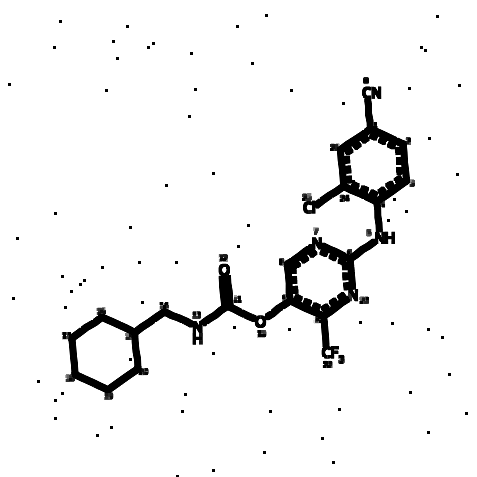 N#Cc1ccc(Nc2ncc(OC(=O)NCC3CCCCC3)c(C(F)(F)F)n2)c(Cl)c1